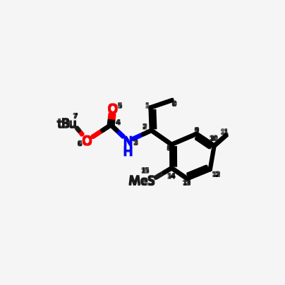 C/C=C(/NC(=O)OC(C)(C)C)c1cc(C)ccc1SC